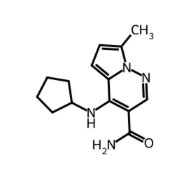 Cc1ccc2c(NC3CCCC3)c(C(N)=O)cnn12